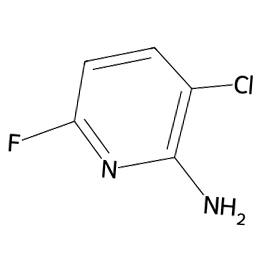 Nc1nc(F)ccc1Cl